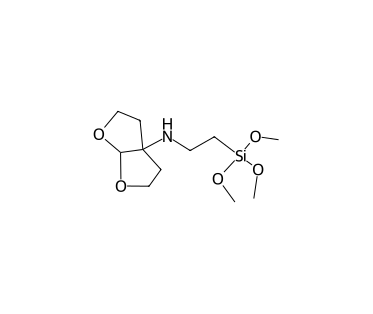 CO[Si](CCNC12CCOC1OCC2)(OC)OC